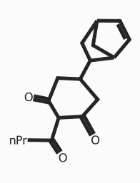 CCCC(=O)C1C(=O)CC(C2CC3C=CC2C3)CC1=O